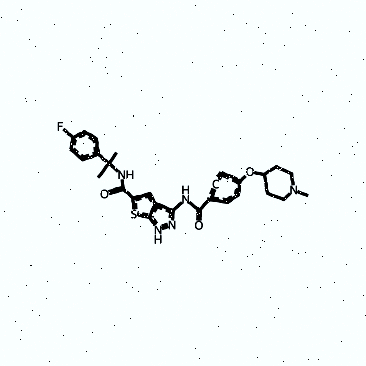 CN1CCC(Oc2ccc(C(=O)Nc3n[nH]c4sc(C(=O)NC(C)(C)c5ccc(F)cc5)cc34)cc2)CC1